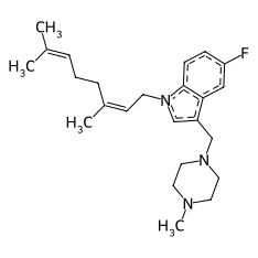 CC(C)=CCCC(C)=CCn1cc(CN2CCN(C)CC2)c2cc(F)ccc21